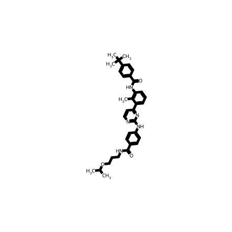 Cc1c(NC(=O)c2ccc(C(C)(C)C)cc2)cccc1-c1ccnc(Nc2ccc(C(=O)NCCCOC(C)C)cc2)n1